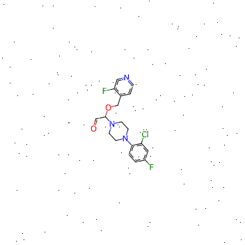 O=CC(OCc1ccncc1F)N1CCN(c2ccc(F)cc2Cl)CC1